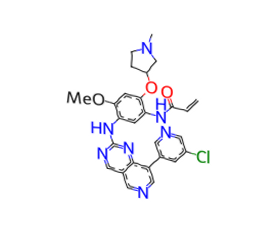 C=CC(=O)Nc1cc(Nc2ncc3cncc(-c4cncc(Cl)c4)c3n2)c(OC)cc1OC1CCN(C)C1